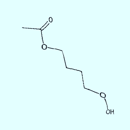 CC(=O)OCCCCOO